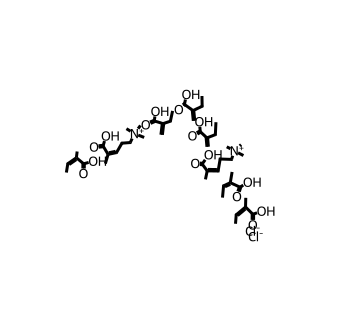 C=C(CC)C(=O)O.C=C(CC)C(=O)O.C=C(CC)C(=O)O.CC(=CCC[N+](C)(C)C)C(=O)O.CC(=CCC[N+](C)(C)C)C(=O)O.CC=C(C)C(=O)O.CC=C(C)C(=O)O.CC=C(C)C(=O)O.[Cl-].[Cl-]